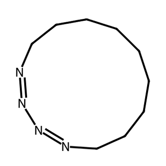 C1CCCCN=NN=NCCCC1